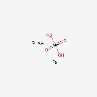 [Fe].[KH].[Ni].[O]=[Mn](=[O])([OH])[OH]